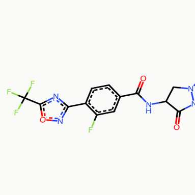 CN1CC(NC(=O)c2ccc(-c3noc(C(F)(F)F)n3)c(F)c2)C(=O)N1